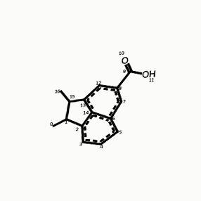 CC1c2cccc3cc(C(=O)O)cc(c23)C1C